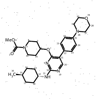 COC(=O)N1CCC(Oc2nc(N[C@H]3CC[C@H](C)CC3)ncc2-c2ccc(N3CCOCC3)cc2)CC1